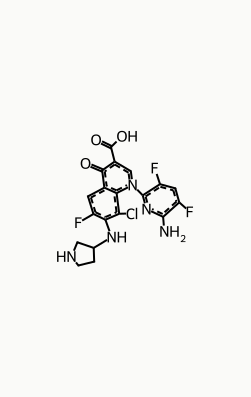 Nc1nc(-n2cc(C(=O)O)c(=O)c3cc(F)c(NC4CCNC4)c(Cl)c32)c(F)cc1F